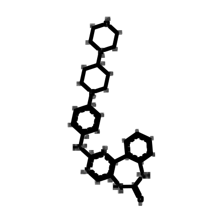 O=C1Nc2ccccc2-c2nc(Nc3ccc(N4CCC(N5CCOCC5)CC4)cc3)ncc2N1